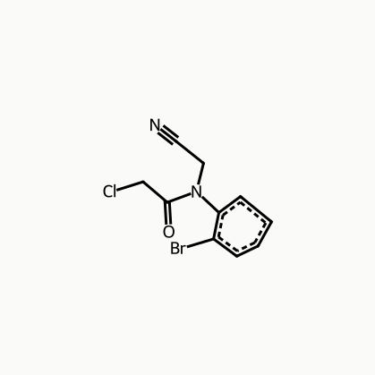 N#CCN(C(=O)CCl)c1ccccc1Br